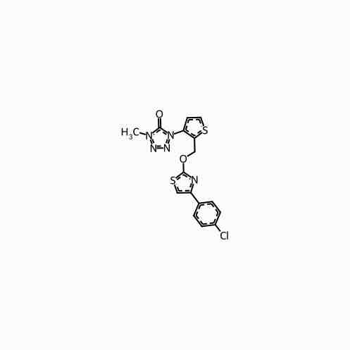 Cn1nnn(-c2ccsc2COc2nc(-c3ccc(Cl)cc3)cs2)c1=O